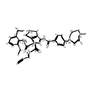 C#CCOC(=O)[N+]1(C(=O)Nc2c(CC)cccc2CC)N=C(NC(=O)c2ccc(N3CCN(C)CC3)cc2)C2=C1CNC2